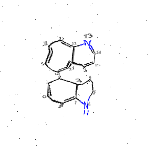 C1=CCC2CCNC2=C1.c1ccc2ncccc2c1